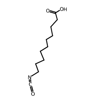 O=C=NCCCCCCCCCC(=O)O